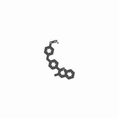 Cc1cc2ccccc2nc1-c1ccc(Cc2ccc(OC(F)(F)F)cc2)cc1